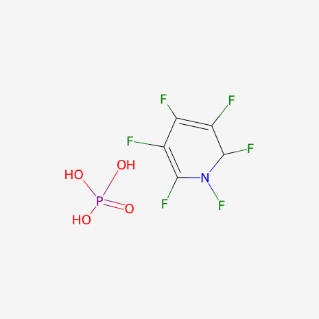 FC1=C(F)C(F)N(F)C(F)=C1F.O=P(O)(O)O